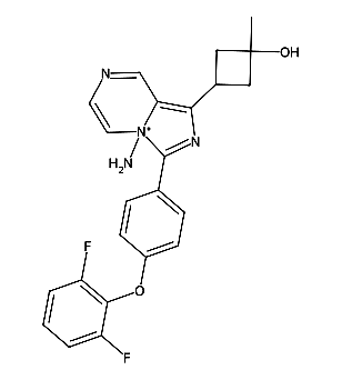 CC1(O)CC(C2=C3C=NC=C[N+]3(N)C(c3ccc(Oc4c(F)cccc4F)cc3)=N2)C1